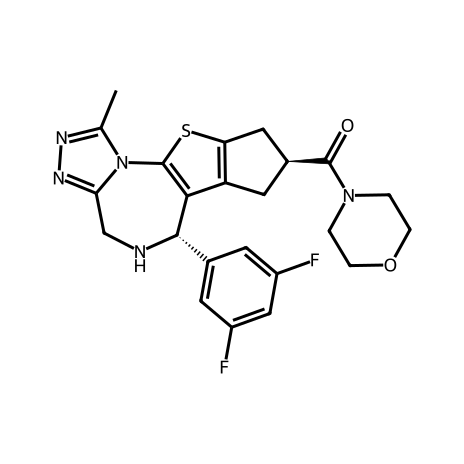 Cc1nnc2n1-c1sc3c(c1[C@H](c1cc(F)cc(F)c1)NC2)C[C@H](C(=O)N1CCOCC1)C3